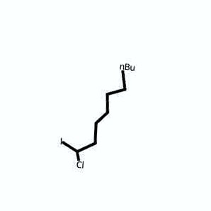 CCCCCCCCCC(Cl)I